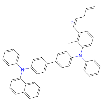 C=CC/C=C\c1cccc(N(c2ccccc2)c2ccc(-c3ccc(N(c4ccccc4)c4cccc5ccccc45)cc3)cc2)c1C